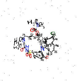 C[C@H]1C(=O)NS(=O)(=O)c2ccc3c(c2)N(C[C@@H]2CC[C@H]2[C@@H](OC(=O)N(C)C)/C=C/CN1C)C[C@@]1(CCCc2cc(Cl)ccc21)CO3